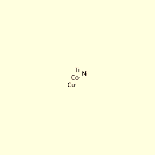 [Co].[Cu].[Ni].[Ti]